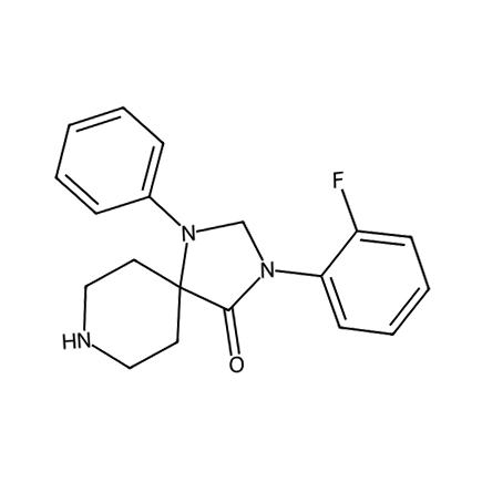 O=C1N(c2ccccc2F)CN(c2ccccc2)C12CCNCC2